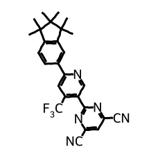 CC1(C)c2ccc(-c3cc(C(F)(F)F)c(-c4nc(C#N)cc(C#N)n4)cn3)cc2C(C)(C)C1(C)C